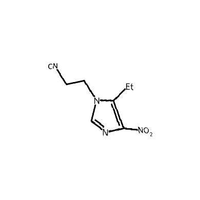 [C-]#[N+]CCn1cnc([N+](=O)[O-])c1CC